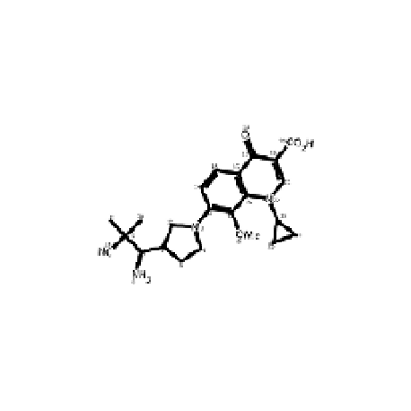 COc1c(N2CCC(C(N)C(C)(C)C#N)C2)ccc2c(=O)c(C(=O)O)cn(C3CC3)c12